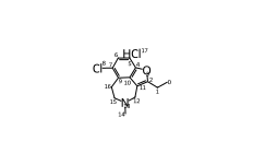 CCc1oc2ccc(Cl)c3c2c1CN(C)CC3.Cl